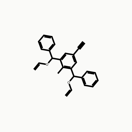 C#Cc1cc(C(OC=C)c2ccccc2)c(C)c(C(OC=C)c2ccccc2)c1